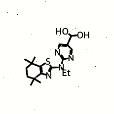 CCN(c1ncc(C(O)O)cn1)c1nc2c(s1)C(C)(C)CCC2(C)C